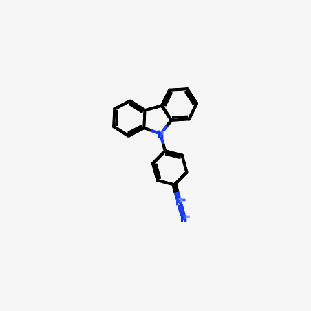 [N-]=[N+]=C1C=CC(n2c3ccccc3c3ccccc32)=CC1